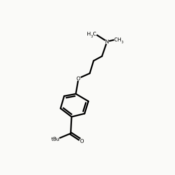 CN(C)CCCOc1ccc(C(=O)C(C)(C)C)cc1